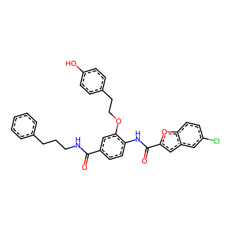 O=C(NCCCc1ccccc1)c1ccc(NC(=O)c2cc3cc(Cl)ccc3o2)c(OCCc2ccc(O)cc2)c1